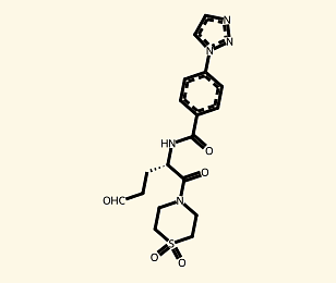 O=CCC[C@H](NC(=O)c1ccc(-n2ccnn2)cc1)C(=O)N1CCS(=O)(=O)CC1